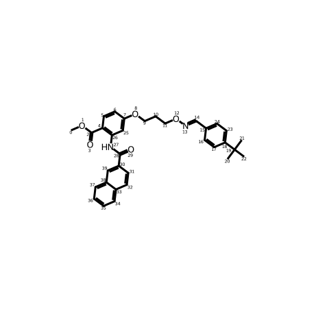 COC(=O)c1ccc(OCCCON=Cc2ccc(C(C)(C)C)cc2)cc1NC(=O)c1ccc2ccccc2c1